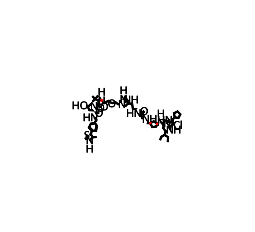 CCC(CC)C1CC(N[C@H]2CCC(CNCC(=O)NCCCC3CN(CCOCC(=O)N[C@H](C(=O)N4C[C@H](O)C[C@H]4C(=O)NCc4ccc(C5SCNC5C)cc4)C(C)(C)C)NN3)C2)N2NC(C3CCCC3)C(Cl)C2N1